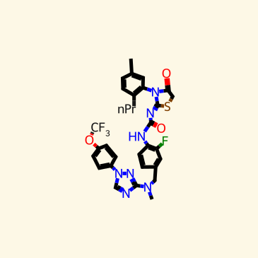 CCCc1ccc(C)cc1N1C(=O)CS/C1=N\C(=O)Nc1ccc(CN(C)c2ncn(-c3ccc(OC(F)(F)F)cc3)n2)cc1F